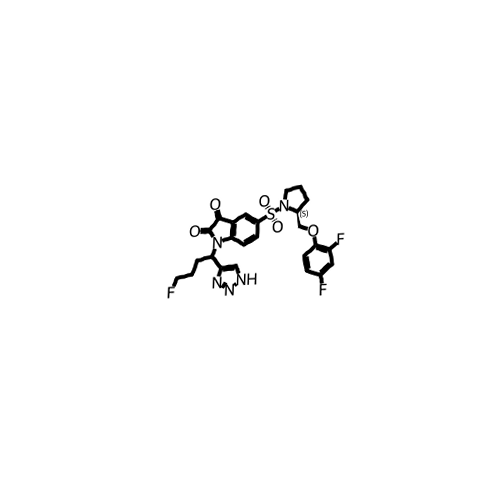 O=C1C(=O)N(C(CCCF)c2c[nH]nn2)c2ccc(S(=O)(=O)N3CCC[C@H]3COc3ccc(F)cc3F)cc21